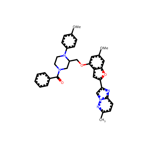 COc1ccc(N2CCN(C(=O)c3ccccc3)CC2COc2cc(OC)cc3oc(-c4cn5nc(C)ccc5n4)cc23)cc1